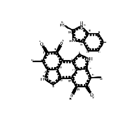 Cc1c(=O)c(=O)c2c3c[nH]c4c(C)c(=O)c(=O)c(c5c[nH]c1c52)c43.Sc1nc2ccccc2[nH]1